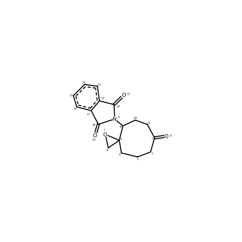 O=C1CCCC2(CO2)C(N2C(=O)c3ccccc3C2=O)CC1